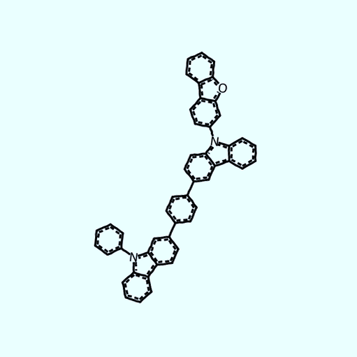 c1ccc(-n2c3ccccc3c3ccc(-c4ccc(-c5ccc6c(c5)c5ccccc5n6-c5ccc6c(c5)oc5ccccc56)cc4)cc32)cc1